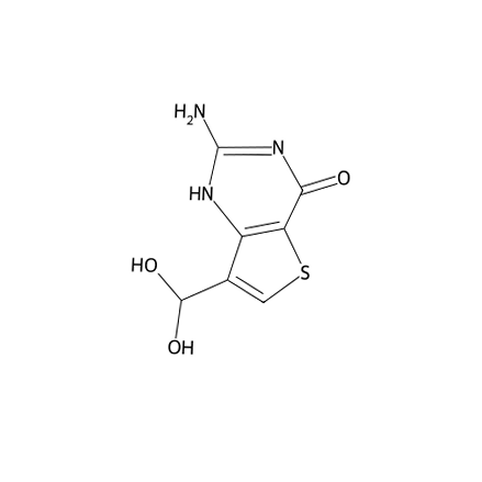 Nc1nc(=O)c2scc(C(O)O)c2[nH]1